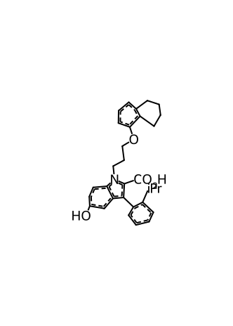 CC(C)c1ccccc1-c1c(C(=O)O)n(CCCOc2cccc3c2CCCC3)c2ccc(O)cc12